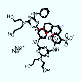 O=S(=O)([O-])c1cc(Nc2nc(Nc3ccccc3)nc(N(CCO)CCO)n2)ccc1/C=C\c1ccc(Nc2nc(Nc3ccccc3)nc(N(CCO)CCO)n2)cc1S(=O)(=O)[O-].[Na+].[Na+]